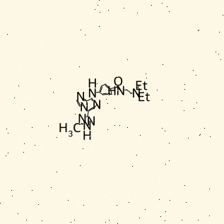 CCN(CC)CCNC(=O)c1ccc(Nc2ncc(-c3n[nH]c(C)n3)n3ccnc23)cc1